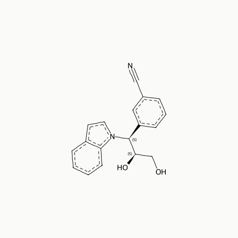 N#Cc1cccc([C@@H]([C@H](O)CO)n2ccc3ccccc32)c1